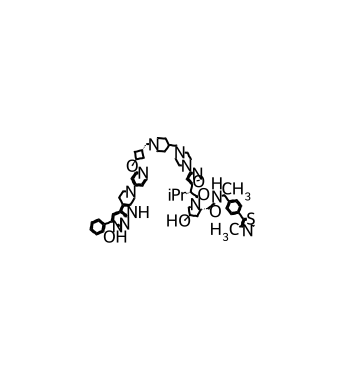 Cc1ncsc1-c1ccc([C@H](C)NC2OC2[C@@H]2C[C@@H](O)CN2C(=O)[C@@H](c2cc(N3CCN(CC4CCN(C[C@H]5C[C@H](Oc6cc(N7CCc8c([nH]c9nnc(-c%10ccccc%10O)cc89)C7)ccn6)C5)CC4)CC3)no2)C(C)C)cc1